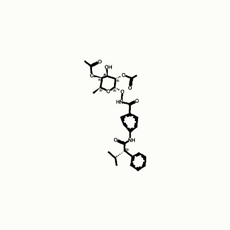 CC(=O)O[C@@H]1[C@H](ONC(=O)c2ccc(NC(=O)[C@H](c3ccccc3)C(C)C)cc2)O[C@@H](C)[C@@H](OC(C)=O)[C@H]1O